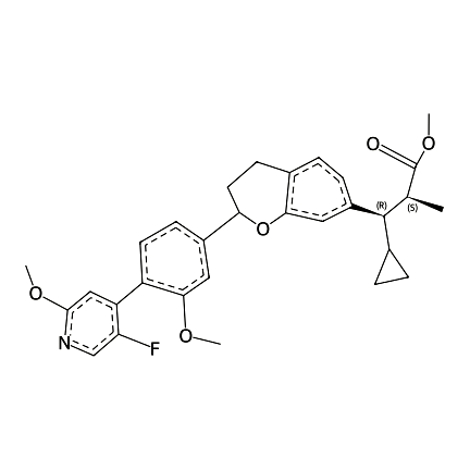 COC(=O)[C@@H](C)[C@H](c1ccc2c(c1)OC(c1ccc(-c3cc(OC)ncc3F)c(OC)c1)CC2)C1CC1